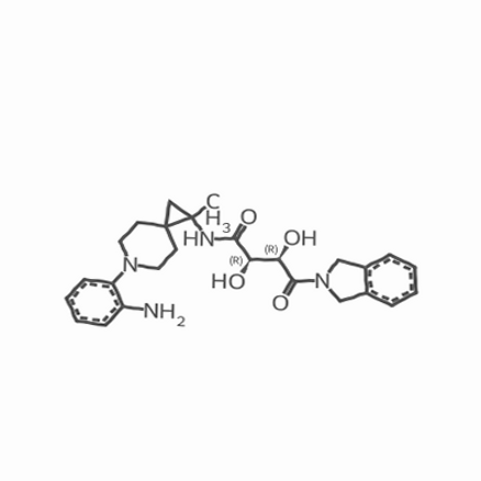 CC1(NC(=O)[C@H](O)[C@@H](O)C(=O)N2Cc3ccccc3C2)CC12CCN(c1ccccc1N)CC2